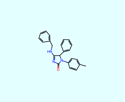 Cc1ccc(N2C(=O)N=C(NCc3ccccc3)C2c2ccccc2)cc1